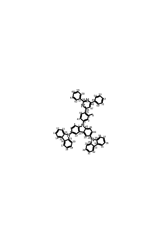 Cc1cc(-n2c3ccc(-n4c5ccccc5c5ccccc54)cc3c3cc(-n4c5ccccc5c5ccccc54)ccc32)ccc1-c1cc(-c2ccccc2)nc(-c2ccccc2)n1